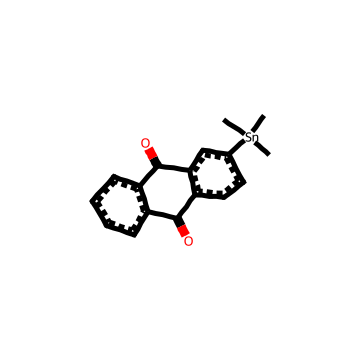 [CH3][Sn]([CH3])([CH3])[c]1ccc2c(c1)C(=O)c1ccccc1C2=O